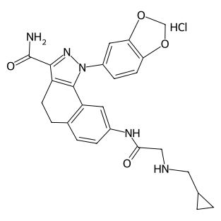 Cl.NC(=O)c1nn(-c2ccc3c(c2)OCO3)c2c1CCc1ccc(NC(=O)CNCC3CC3)cc1-2